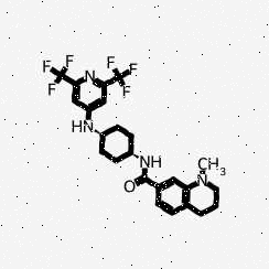 CN1CCCc2ccc(C(=O)N[C@H]3CC[C@@H](Nc4cc(C(F)(F)F)nc(C(F)(F)F)c4)CC3)cc21